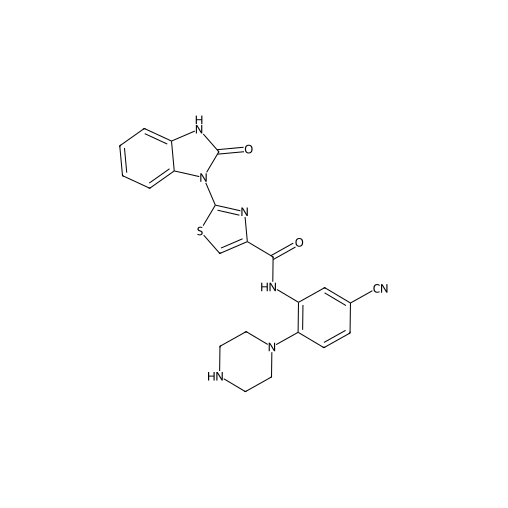 N#Cc1ccc(N2CCNCC2)c(NC(=O)c2csc(-n3c(=O)[nH]c4ccccc43)n2)c1